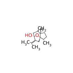 C=C1C[C@@]2(O)O[C@@]3(CC2=C(C)C)[C@@H](C)CC[C@@H]13